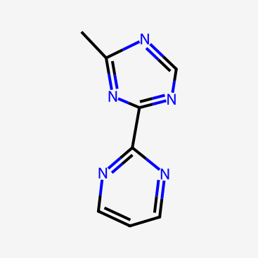 Cc1ncnc(-c2ncccn2)n1